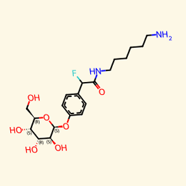 NCCCCCCNC(=O)C(F)c1ccc(O[C@@H]2O[C@H](CO)[C@@H](O)[C@@H](O)[C@@H]2O)cc1